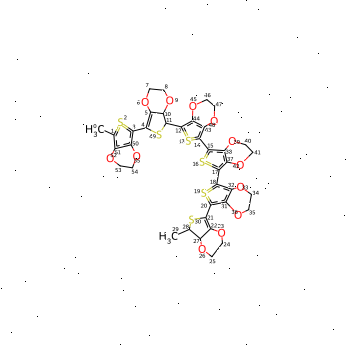 Cc1sc(C2=C3OCCOC3C(c3sc(-c4sc(-c5sc(C6=C7OCCOC7C(C)S6)c6c5OCCO6)c5c4OCCO5)c4c3OCCO4)S2)c2c1OCCO2